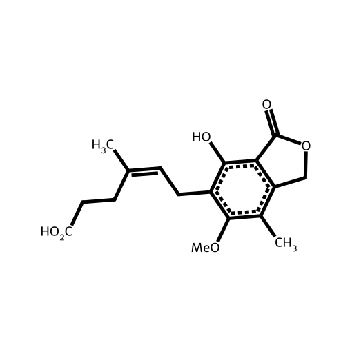 COc1c(C)c2c(c(O)c1CC=C(C)CCC(=O)O)C(=O)OC2